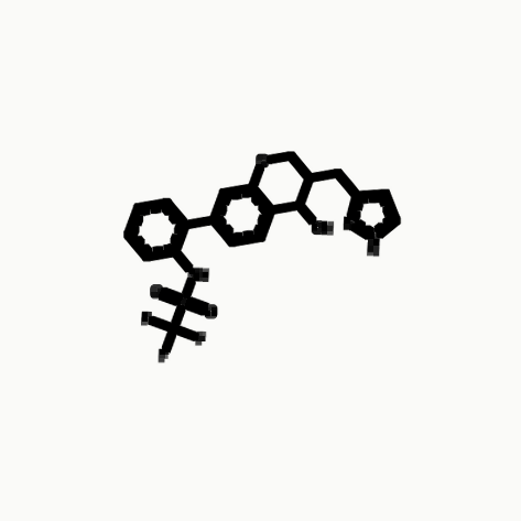 O=S(=O)(Nc1ccccc1-c1ccc2c(c1)OCC(Cc1cc[nH]n1)C2O)C(F)(F)F